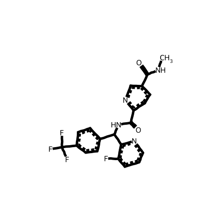 CNC(=O)c1ccc(C(=O)NC(c2ccc(C(F)(F)F)cc2)c2ncccc2F)nc1